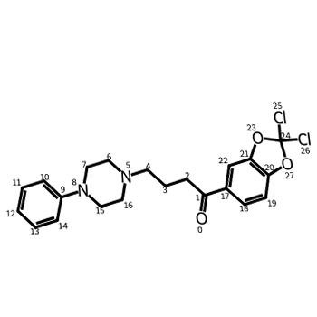 O=C(CCCN1CCN(c2ccccc2)CC1)c1ccc2c(c1)OC(Cl)(Cl)O2